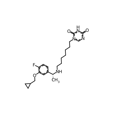 C[C@@H](NCCCCCCCn1cnc(=O)[nH]c1=O)c1ccc(F)c(OCC2CC2)c1